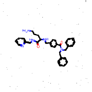 NCCCC(NCc1ccc(C(=O)N(Cc2ccccc2)Cc2ccccc2)cc1)C(=O)NCc1ccccn1